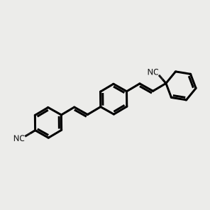 N#Cc1ccc(C=Cc2ccc(C=CC3(C#N)C=CC=CC3)cc2)cc1